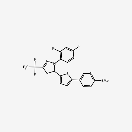 CSc1ccc(-c2ccc(C3CC(C(F)(F)C(F)(F)F)=NN3c3ccc(F)cc3F)s2)cn1